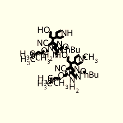 CCCCOc1nc(N)c2c(n1)c(C(CCO)C1CCN(C)CC1)c(C#N)n2COCC[Si](C)(C)C.CCCCOc1nc(N)c2c(n1)c(C(CCO)C1CCNCC1)c(C#N)n2COCC[Si](C)(C)C